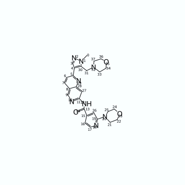 Cn1ncc(-c2ccc3cnc(NC(=O)c4ccnc(N5CCOCC5)c4)cc3n2)c1CN1CCOCC1